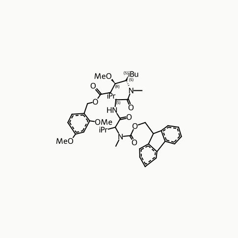 CC[C@H](C)[C@@H]([C@@H](CC(=O)OCc1ccc(OC)cc1OC)OC)N(C)C(=O)[C@@H](NC(=O)C(C(C)C)N(C)C(=O)OCC1c2ccccc2-c2ccccc21)C(C)C